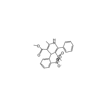 COC(=O)C1=C(C)NC(c2ccccc2)=C(S(C)(=O)=O)C1c1ccccc1[N+](=O)[O-]